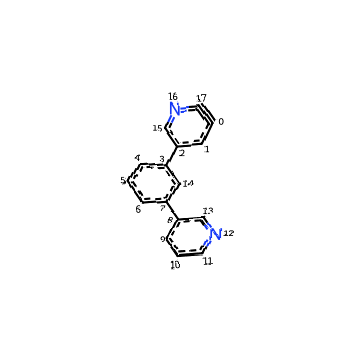 c1cc(-c2cccc(-c3cccnc3)c2)cnc#1